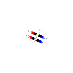 [N-]=C=O.[N-]=C=O.[P+2]